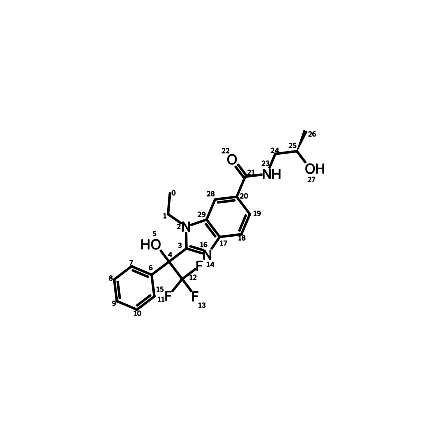 CCn1c(C(O)(c2ccccc2)C(F)(F)F)nc2ccc(C(=O)NC[C@@H](C)O)cc21